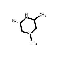 CC1CN(C)C[C@H](I)N1